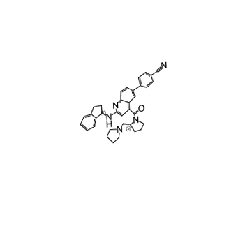 N#Cc1ccc(-c2ccc3nc(N[C@@H]4CCc5ccccc54)cc(C(=O)N4CCC[C@H]4CN4CCCC4)c3c2)cc1